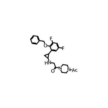 CC(=O)N1CCN(C(=O)CNC2CC2c2cc(F)cc(F)c2OCc2ccccc2)CC1